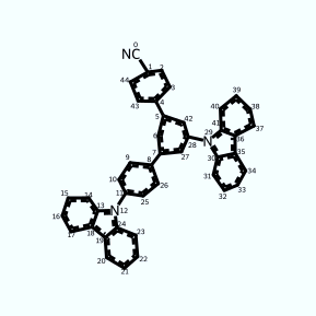 N#Cc1ccc(-c2cc(-c3ccc(-n4c5ccccc5c5ccccc54)cc3)cc(-n3c4ccccc4c4ccccc43)c2)cc1